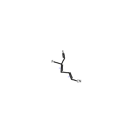 N#C/C=C/C=C(/F)C=S